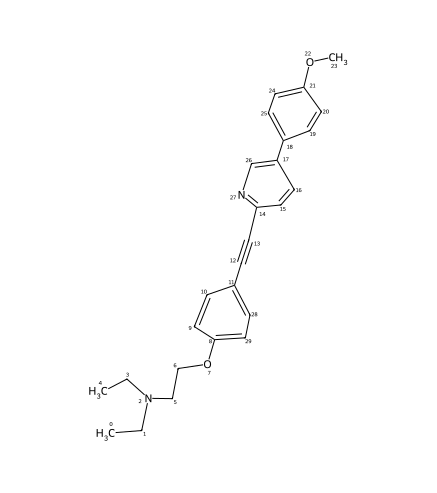 CCN(CC)CCOc1ccc(C#Cc2ccc(-c3ccc(OC)cc3)cn2)cc1